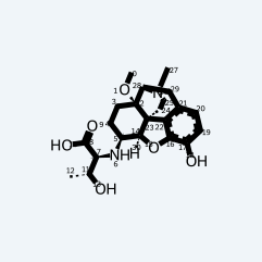 CO[C@@]12CC[C@H](N[C@H](C(=O)O)[C@@H](C)O)[C@@H]3Oc4c(O)ccc5c4[C@@]31CCN(C)C2C5